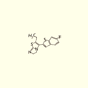 CCC1=C(c2cc3ccc(F)cc3s2)N2CCN=C2S1